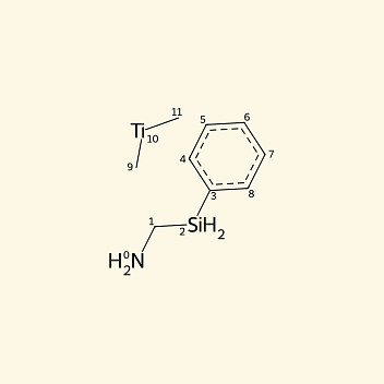 NC[SiH2]c1ccccc1.[CH3][Ti][CH3]